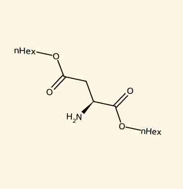 CCCCCCOC(=O)C[C@H](N)C(=O)OCCCCCC